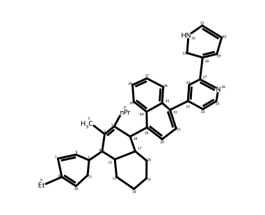 CCCC1=C(C)C(C2C=CC(CC)=CC2)C2CCCCC2C1c1ccc(-c2ccnc(C3=CC=CNC3)c2)c2ccccc12